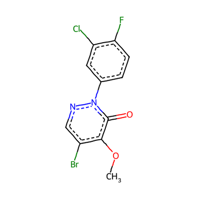 COc1c(Br)cnn(-c2ccc(F)c(Cl)c2)c1=O